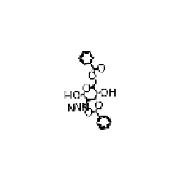 [N-]=[N+]=NC1C(O)OC(COC(=O)c2ccccc2)[C@@H](O)[C@@H]1OC(=O)c1ccccc1